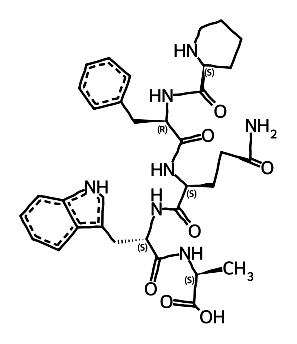 C[C@H](NC(=O)[C@H](Cc1c[nH]c2ccccc12)NC(=O)[C@H](CCC(N)=O)NC(=O)[C@@H](Cc1ccccc1)NC(=O)[C@@H]1CCCCN1)C(=O)O